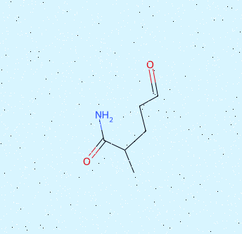 CC(CCC=O)C(N)=O